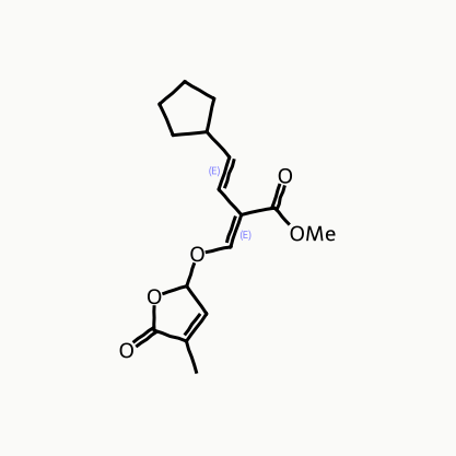 COC(=O)C(/C=C/C1CCCC1)=C/OC1C=C(C)C(=O)O1